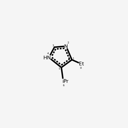 CCc1nc[nH]c1C(C)C